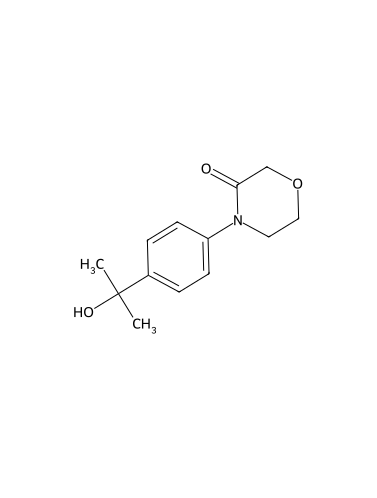 CC(C)(O)c1ccc(N2CCOCC2=O)cc1